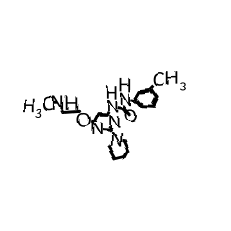 CNCCOc1cc(NC(=O)Nc2cccc(C)c2)nc(N2CCCCC2)n1